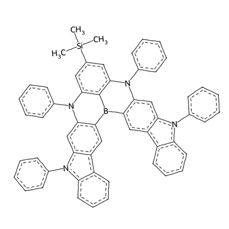 C[Si](C)(C)c1cc2c3c(c1)N(c1ccccc1)c1cc4c(cc1B3c1cc3c5ccccc5n(-c5ccccc5)c3cc1N2c1ccccc1)c1ccccc1n4-c1ccccc1